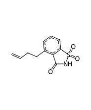 C=CCCc1cccc2c1C(=O)NS2(=O)=O